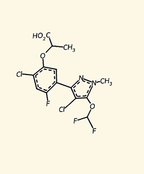 CC(Oc1cc(-c2nn(C)c(OC(F)F)c2Cl)c(F)cc1Cl)C(=O)O